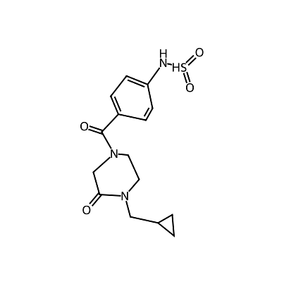 O=C1CN(C(=O)c2ccc(N[SH](=O)=O)cc2)CCN1CC1CC1